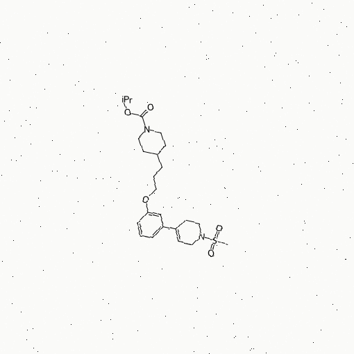 CC(C)OC(=O)N1CCC(CCCOc2cccc(C3=CCN(S(C)(=O)=O)CC3)c2)CC1